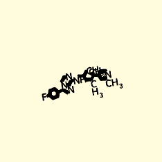 C=C(/C(C)=C\C(=C/C)CNc1nccn2c(-c3ccc(F)cc3)cnc12)c1ccnc(C)c1